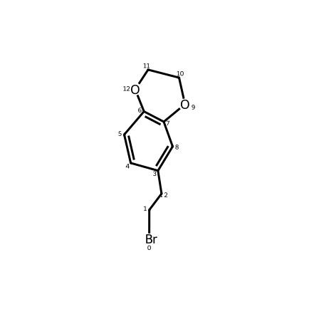 BrC[CH]c1ccc2c(c1)OCCO2